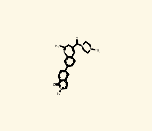 CCn1ccc2cc(-c3ccc4c(c3)N=C(N)CC(C(=O)N3CCN(C)CC3)=C4)ccc2c1=O